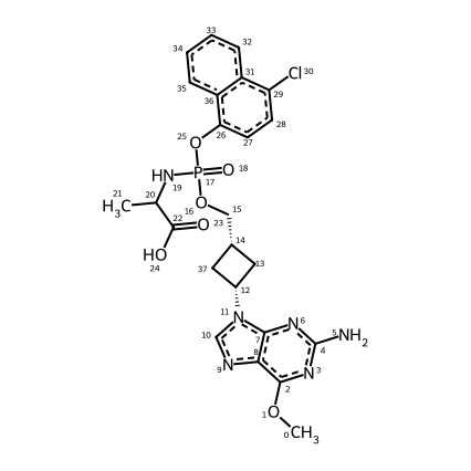 COc1nc(N)nc2c1ncn2[C@H]1C[C@@H](COP(=O)(NC(C)C(=O)O)Oc2ccc(Cl)c3ccccc23)C1